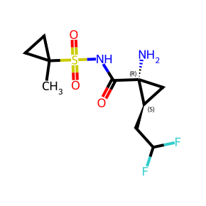 CC1(S(=O)(=O)NC(=O)[C@@]2(N)C[C@H]2CC(F)F)CC1